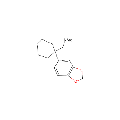 CNCC1(c2ccc3c(c2)OCO3)CCCCC1